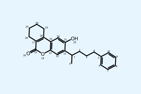 CC(CCCc1ccccc1)c1cc2oc(=O)c3c(c2cc1O)CCCC3